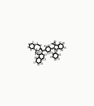 C1=Cc2ccccc2C2=Nc3c(ccc4ccccc34)C(c3ccc(C4N(c5ccccc5)c5ccccc5C45CC5)cc3)=C1C2